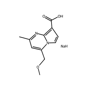 COCc1cc(C)nc2c(C(=O)O)ccn12.[NaH]